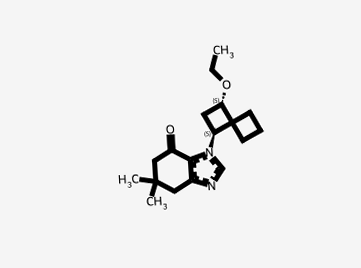 CCO[C@H]1C[C@H](n2cnc3c2C(=O)CC(C)(C)C3)C12CCC2